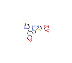 COCC(O)c1cnc(-c2ccc(C(CC3CCOCC3)c3ccc(SC)cn3)[nH]2)s1